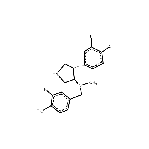 CN(Cc1ccc(C(F)(F)F)c(F)c1)[C@H]1CNC[C@@H]1c1ccc(Cl)c(F)c1